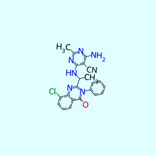 Cc1nc(N)c(C#N)c(NC(C)c2nc3c(Cl)cccc3c(=O)n2-c2ccccc2)n1